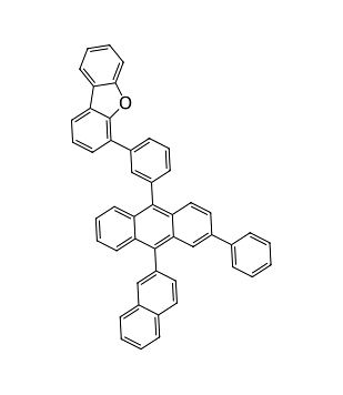 c1ccc(-c2ccc3c(-c4cccc(-c5cccc6c5oc5ccccc56)c4)c4ccccc4c(-c4ccc5ccccc5c4)c3c2)cc1